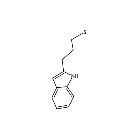 [S]CCCc1cc2ccccc2[nH]1